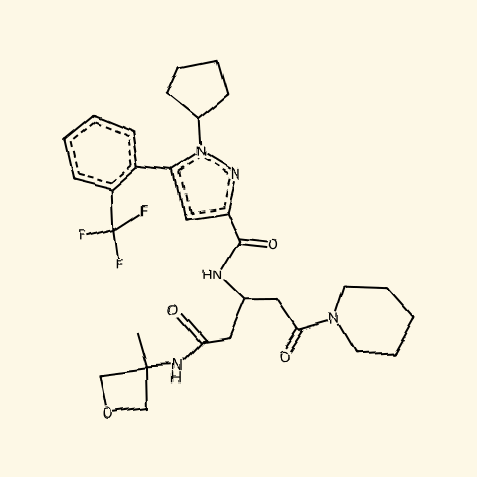 CC1(NC(=O)CC(CC(=O)N2CCCCC2)NC(=O)c2cc(-c3ccccc3C(F)(F)F)n(C3CCCC3)n2)COC1